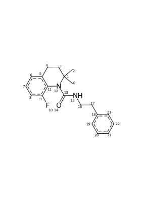 CC1(C)CCc2cccc(F)c2N1C(=O)NCCc1ccccc1